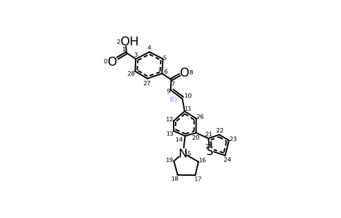 O=C(O)c1ccc(C(=O)/C=C/c2ccc(N3CCCC3)c(-c3cccs3)c2)cc1